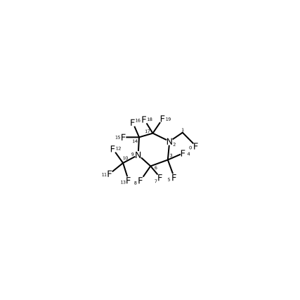 FCN1C(F)(F)C(F)(F)N(C(F)(F)F)C(F)(F)C1(F)F